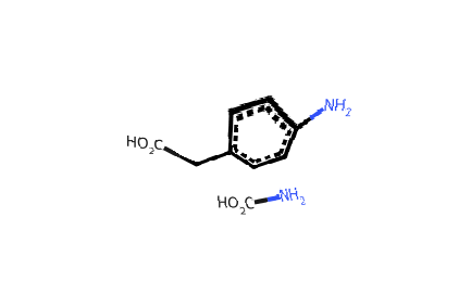 NC(=O)O.Nc1ccc(CC(=O)O)cc1